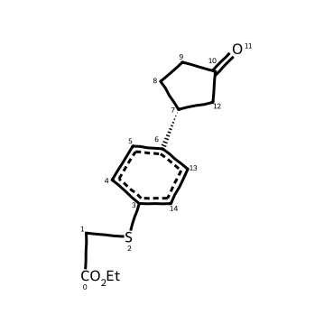 CCOC(=O)CSc1ccc([C@@H]2CCC(=O)C2)cc1